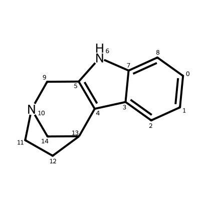 c1ccc2c3c([nH]c2c1)CN1CCC3C1